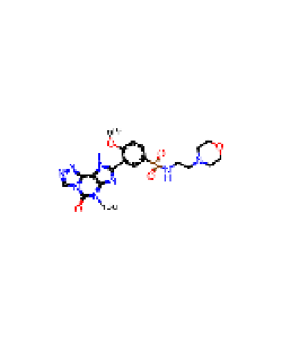 CCCCn1c(=O)n2cnnc2c2[nH]c(-c3cc(S(=O)(=O)NCCN4CCOCC4)ccc3OCCC)nc21